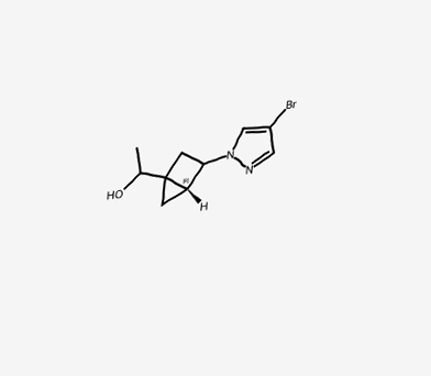 CC(O)C12CC(n3cc(Br)cn3)[C@@H]1C2